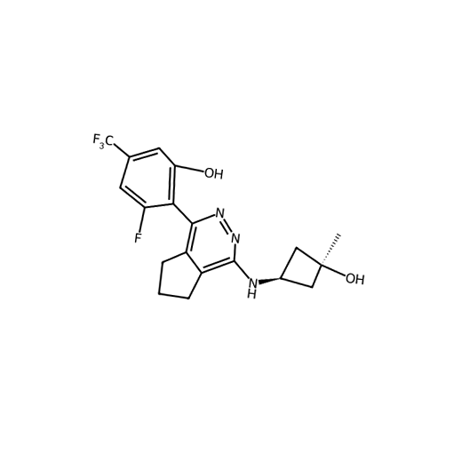 C[C@]1(O)C[C@@H](Nc2nnc(-c3c(O)cc(C(F)(F)F)cc3F)c3c2CCC3)C1